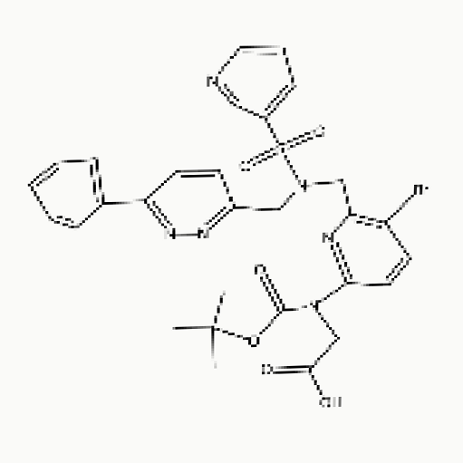 CC(C)(C)OC(=O)N(CC(=O)O)c1ccc(Br)c(CN(Cc2ccc(-c3ccccc3)nn2)S(=O)(=O)c2cccnc2)n1